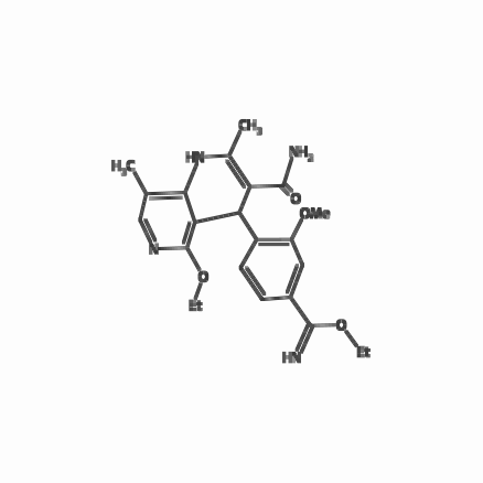 CCOC(=N)c1ccc(C2C(C(N)=O)=C(C)Nc3c(C)cnc(OCC)c32)c(OC)c1